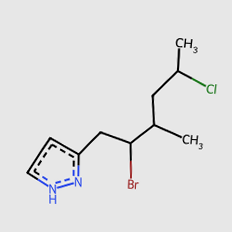 CC(Cl)CC(C)C(Br)Cc1cc[nH]n1